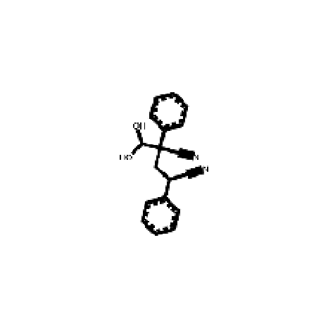 N#CC(CC(C#N)(c1ccccc1)C(O)O)c1ccccc1